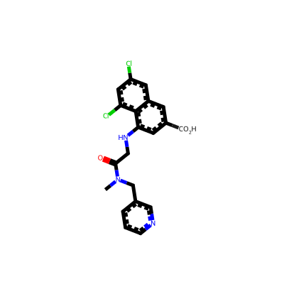 CN(Cc1cccnc1)C(=O)CNc1cc(C(=O)O)cc2cc(Cl)cc(Cl)c12